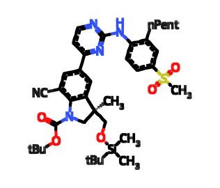 CCCCCc1cc(S(C)(=O)=O)ccc1Nc1nccc(-c2cc(C#N)c3c(c2)[C@@](C)(CO[Si](C)(C)C(C)(C)C)CN3C(=O)OC(C)(C)C)n1